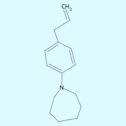 C=CCc1ccc(N2CCCCCC2)cc1